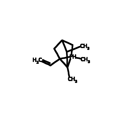 C=CC12CC3C[PH]1(C)C2(C)C3C